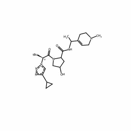 CC(NC(=O)C1CC(O)CN1C(=O)[C@@H](n1cc(C2CC2)nn1)C(C)(C)C)C1=CCN(C)CC1